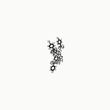 Cc1ccc(C(=O)OC[C@@H]2O[C@@H](N3C=CC(NC(=O)c4ccccc4)NC3=O)[C@@](F)(Cl)[C@@H]2OC(=O)c2ccc(C)cc2)cc1